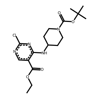 CCOC(=O)c1cnc(Cl)nc1NC1CCN(C(=O)OC(C)(C)C)CC1